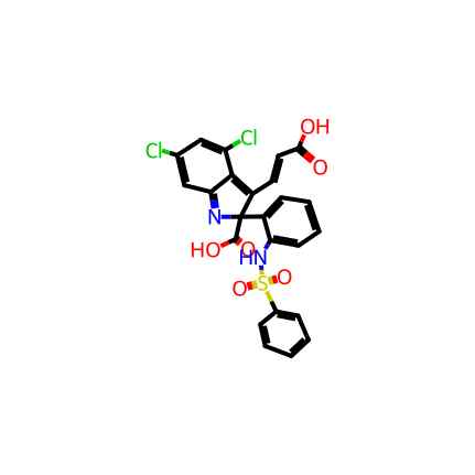 O=C(O)C=CC1=c2c(Cl)cc(Cl)cc2=NC1(C(=O)O)c1ccccc1NS(=O)(=O)c1ccccc1